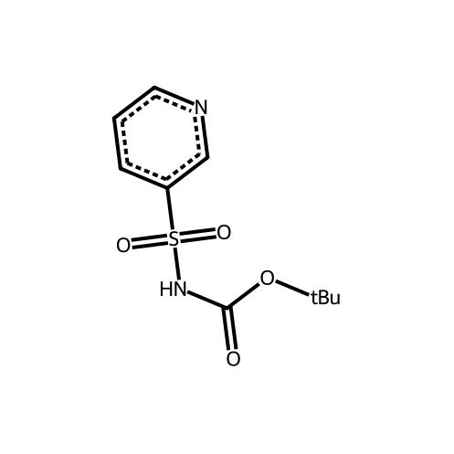 CC(C)(C)OC(=O)NS(=O)(=O)c1cccnc1